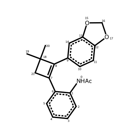 CC(=O)Nc1ccccc1C1=C(c2ccc3c(c2)OCO3)C(C)(C)C1